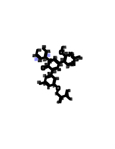 C=C(C)C(=C)COc1cc(C)cc(-c2cc(-c3cnc(C)nc3OC)cn(C(/C=C\C)=C/C)c2=O)c1